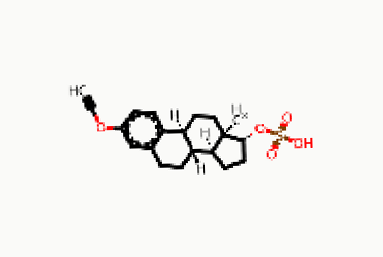 C#COc1ccc2c(c1)CC[C@@H]1[C@@H]2CC[C@]2(C)[C@H](OS(=O)(=O)O)CC[C@@H]12